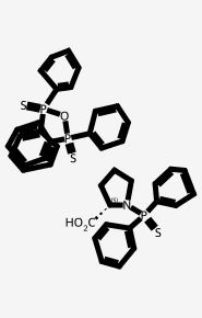 O=C(O)[C@@H]1CCCN1P(=S)(c1ccccc1)c1ccccc1.S=P(OP(=S)(c1ccccc1)c1ccccc1)(c1ccccc1)c1ccccc1